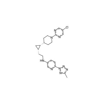 Cc1nnn(-c2ccc(NCC[C@@H]3C[C@@H]3C3CCN(c4ncc(Cl)cn4)CC3)cn2)n1